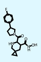 O=C(NO)C1CC2(CC2)CNC1C(=O)N1CCC(c2ccc(F)cc2)C1